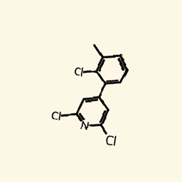 Cc1cccc(-c2cc(Cl)nc(Cl)c2)c1Cl